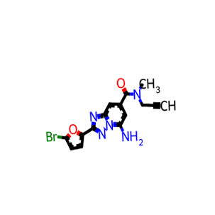 C#CCN(C)C(=O)c1cc(N)n2nc(-c3ccc(Br)o3)nc2c1